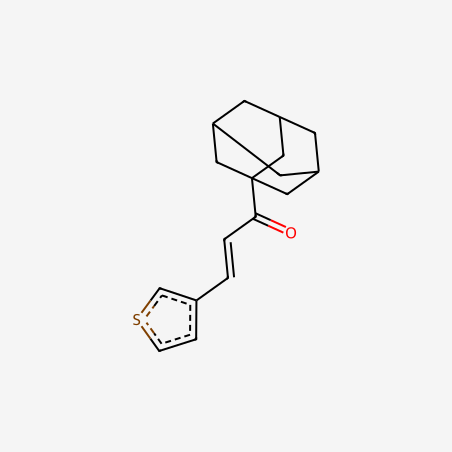 O=C(C=Cc1ccsc1)C12CC3CC(CC(C3)C1)C2